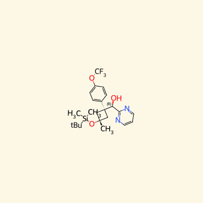 CC(C)(C)[Si](C)(C)O[C@]1(C)C[C@@](c2ccc(OC(F)(F)F)cc2)([C@@H](O)c2ncccn2)C1